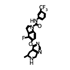 CC1Cc2c(ncnc2Oc2ccc3c(ccn3C(=O)Nc3cccc(C(F)(F)F)c3)c2F)CN1